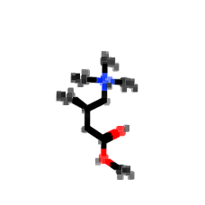 COC(=O)C[C@@H](C)C[N+](C)(C)C